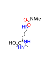 CNC(=O)ONCCCC[C@H](NC(C)=N)C(=O)O